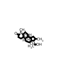 CC(O)[C@H]1C(C)C[C@H]2[C@@H]3CCC4N(C)C(=O)CC[C@]4(C)[C@H]3CC[C@]12C